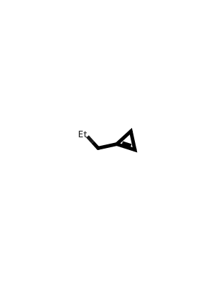 CCCC1=CC1